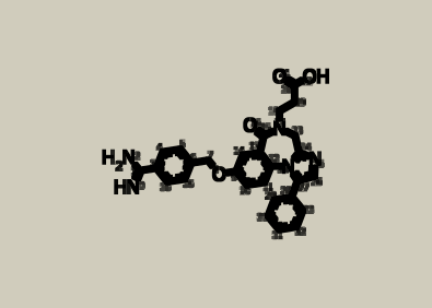 N=C(N)c1ccc(COc2ccc3c(c2)C(=O)N(CCC(=O)O)Cc2ncc(-c4ccccc4)n2-3)cc1